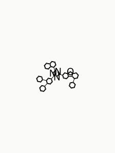 c1ccc(-c2ccc(-c3nc(-c4ccc5c(c4)oc4cccc(-c6ccccc6)c45)nc(-c4cccc5ccccc45)n3)cc2-c2ccccc2)cc1